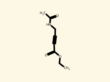 CCOC(=O)C#CCNC(C)=O